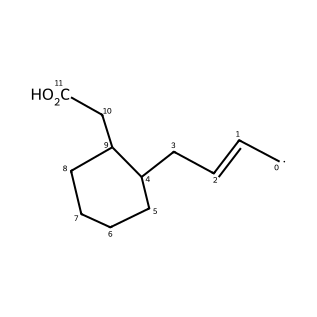 [CH2]C=CCC1CCCCC1CC(=O)O